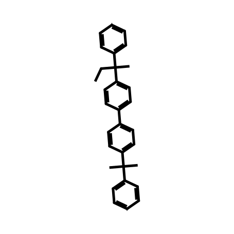 CCC(C)(c1cc[c]cc1)c1ccc(-c2ccc(C(C)(C)c3cc[c]cc3)cc2)cc1